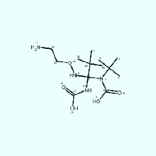 CC(C)(C)N(C(=O)O)C(NOCCN)(NC(=O)O)C(C)(C)C